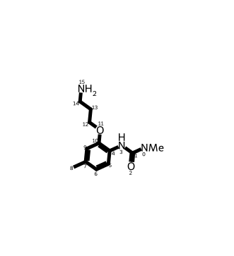 CNC(=O)Nc1ccc(C)cc1OCCCN